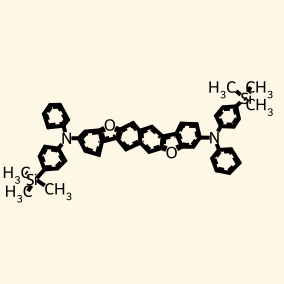 C[Si](C)(C)c1ccc(N(c2ccccc2)c2ccc3c(c2)oc2cc4cc5c(cc4cc23)oc2cc(N(c3ccccc3)c3ccc([Si](C)(C)C)cc3)ccc25)cc1